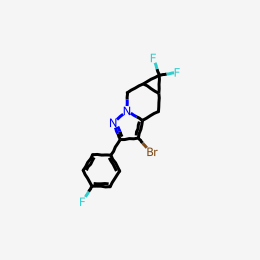 Fc1ccc(-c2nn3c(c2Br)CC2C(C3)C2(F)F)cc1